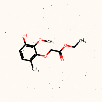 CCOC(=O)COc1c(C)ccc(O)c1OC